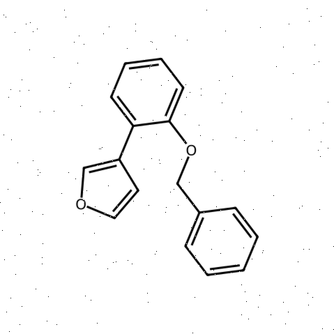 c1ccc(COc2ccccc2-c2ccoc2)cc1